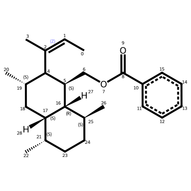 C/C=C(/C)C1[C@@H](COC(=O)c2ccccc2)[C@H]2[C@@H](C[C@@H]1C)[C@@H](C)CC[C@@H]2C